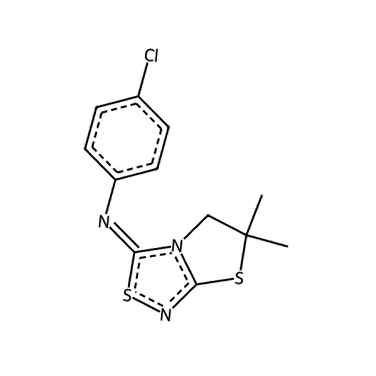 CC1(C)Cn2c(nsc2=Nc2ccc(Cl)cc2)S1